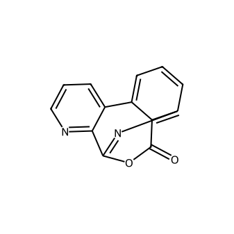 O=c1oc2nc3cccc(c13)-c1cccnc1-2